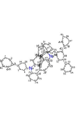 c1ccc(-c2ccc(N(c3ccc(-c4ccccc4)cc3)c3ccccc3-c3ccc4c(c3)c3ccccc3n4-c3cc(-c4ccccc4)cc(-c4ccccc4)c3)cc2)cc1